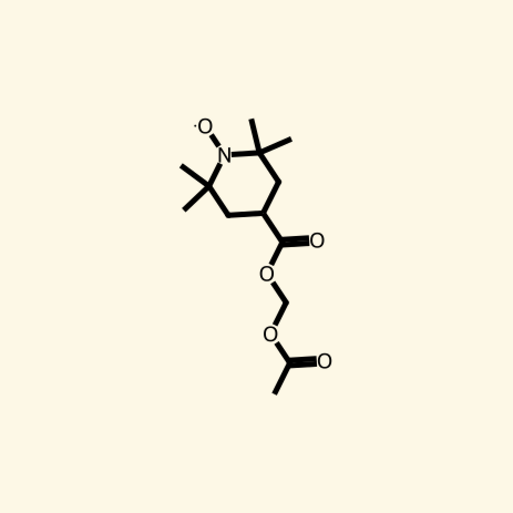 CC(=O)OCOC(=O)C1CC(C)(C)N([O])C(C)(C)C1